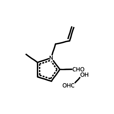 C=CCn1c(C)ccc1C=O.O=CO